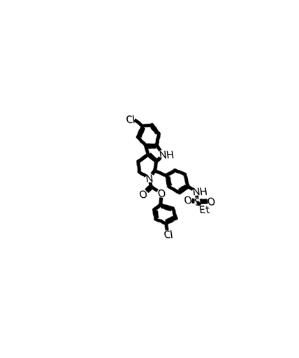 CCS(=O)(=O)NC1=CC=C(C2c3[nH]c4ccc(Cl)cc4c3CCN2C(=O)Oc2ccc(Cl)cc2)CC1